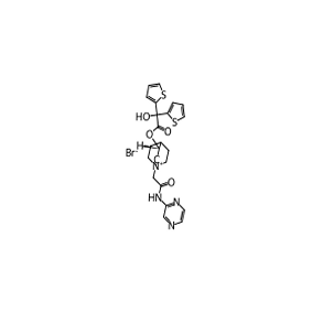 O=C(C[N+]12CCC(CC1)[C@@H](OC(=O)C(O)(c1cccs1)c1cccs1)C2)Nc1cnccn1.[Br-]